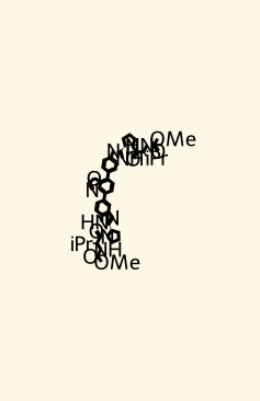 COC(=O)N[C@H](C(=O)N1CCC[C@H]1c1nc2cc(-c3ccc(-c4ccc5nc([C@@H]6CCCN6C(=O)[C@@H](NC(=O)OC)C(C)C)[nH]c5c4)c4ocnc34)ccc2[nH]1)C(C)C